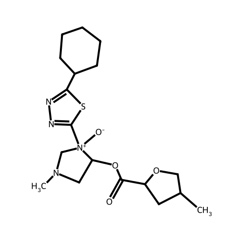 CC1COC(C(=O)OC2CN(C)C[N+]2([O-])c2nnc(C3CCCCC3)s2)C1